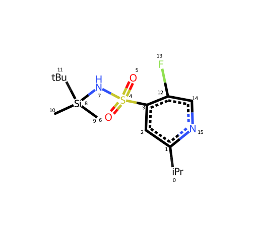 CC(C)c1cc(S(=O)(=O)N[Si](C)(C)C(C)(C)C)c(F)cn1